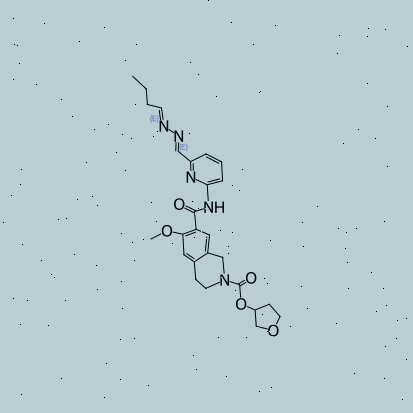 CCC/C=N/N=C/c1cccc(NC(=O)c2cc3c(cc2OC)CCN(C(=O)OC2CCOC2)C3)n1